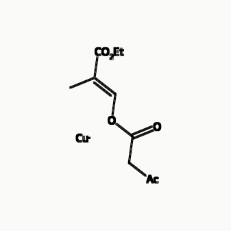 CCOC(=O)C(C)=COC(=O)CC(C)=O.[Cu]